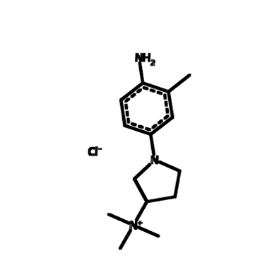 Cc1cc(N2CCC([N+](C)(C)C)C2)ccc1N.[Cl-]